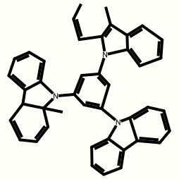 C/C=C\c1c(C)c2ccccc2n1-c1cc(N2c3ccccc3C3C=CC=CC32C)cc(-n2c3ccccc3c3ccccc32)c1